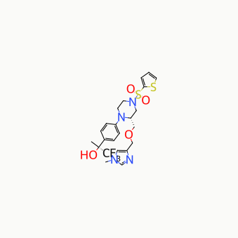 Cn1cnc(COC[C@H]2CN(S(=O)(=O)c3cccs3)CCN2c2ccc([C@](C)(O)C(F)(F)F)cc2)c1